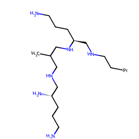 CC(C)CCNC[C@H](CCCN)NCC(C)CNC[C@@H](N)CCCN